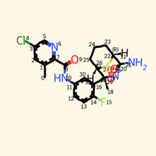 Cc1cc(Cl)cnc1C(=O)Nc1ccc(F)c([C@@]2(C)N=C(N)[C@H]3CCC[C@@H]2S3(=O)=O)c1